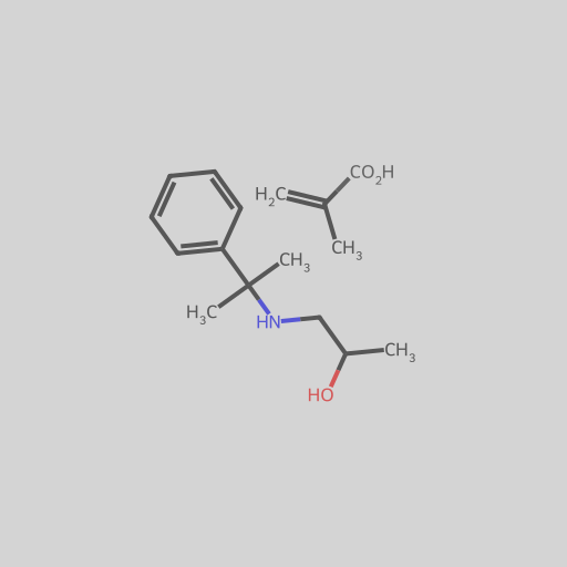 C=C(C)C(=O)O.CC(O)CNC(C)(C)c1ccccc1